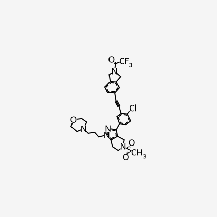 CS(=O)(=O)N1CCc2c(c(-c3ccc(Cl)c(C#Cc4ccc5c(c4)CN(C(=O)C(F)(F)F)C5)c3)nn2CCCN2CCOCC2)C1